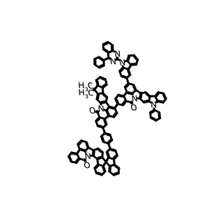 CC1(C)c2ccccc2-c2cc3c4c(-c5ccc6c(c5)c(=O)n5c7cc8c(cc7c7cc(-c9ccc%10c(c9)c9ccccc9n%10-c9nc(-c%10ccccc%10)c%10ccccc%10n9)cc6c75)c5ccccc5n8-c5ccccc5)ccc5c6cc(-c7ccc(-c8ccc9c(c8)C8(c%10ccccc%10-9)c9ccccc9-c9c8ccc8c%10cccc%11c%12ccccc%12c(=O)n(c98)c%11%10)cc7)ccc6c(=O)n(c3cc21)c54